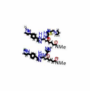 CNC(=O)CCCCC[C@H](NC(=O)c1cnc(CN2CCCC2)s1)c1ncc(-c2ccc(-c3ccn(C)n3)cc2)[nH]1.CNC(=O)CCCCC[C@H](NC(=O)c1cnn(C)c1)c1ncc(-c2ccc(-c3ccn(C)n3)cc2)[nH]1